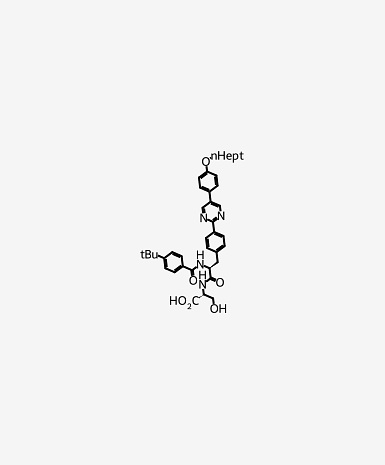 CCCCCCCOc1ccc(-c2cnc(-c3ccc(C[C@H](NC(=O)c4ccc(C(C)(C)C)cc4)C(=O)N[C@H](CO)C(=O)O)cc3)nc2)cc1